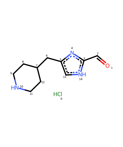 Cl.O=Cc1nc(CC2CCNCC2)c[nH]1